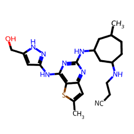 Cc1cc2nc(NC3CC(C)CCC(NCCC#N)C3)nc(Nc3cc(CO)[nH]n3)c2s1